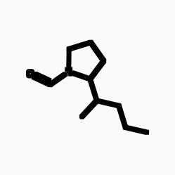 CCCC(C)C1CCCN1C=O